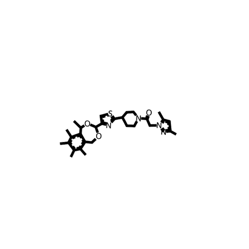 Cc1cc(C)n(CC(=O)N2CCC(c3nc(C4OCc5c(C)c(C)c(C)c(C)c5C(C)O4)cs3)CC2)n1